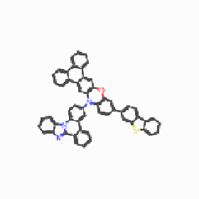 c1ccc2c(c1)nc1c3ccccc3c3cc(N4c5ccc(-c6ccc7c(c6)sc6ccccc67)cc5Oc5cc6c7ccccc7c7ccccc7c6cc54)ccc3n21